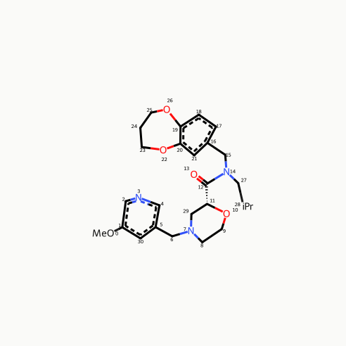 COc1cncc(CN2CCO[C@@H](C(=O)N(Cc3ccc4c(c3)OCCCO4)CC(C)C)C2)c1